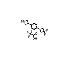 FC1(F)CC(c2ccc(C3CNC3)cc2)C1.O=C(O)C(F)(F)F